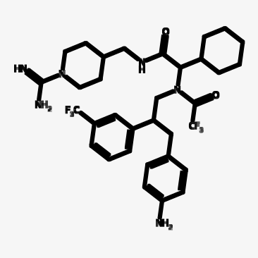 N=C(N)N1CCC(CNC(=O)C(C2CCCCC2)N(CC(Cc2ccc(N)cc2)c2cccc(C(F)(F)F)c2)C(=O)C(F)(F)F)CC1